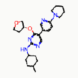 CC1CCC(Nc2ncc(-c3ccc(N4CCCCC4)nc3)c(O[C@@H]3CCOC3)n2)CC1